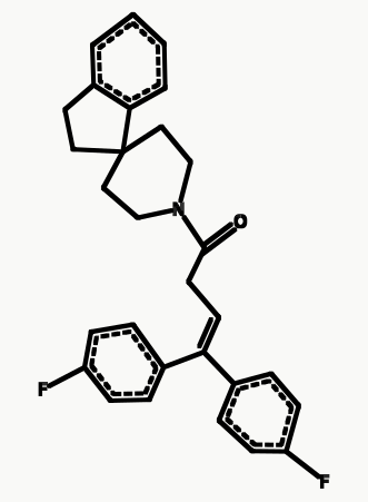 O=C(CC=C(c1ccc(F)cc1)c1ccc(F)cc1)N1CCC2(CCc3ccccc32)CC1